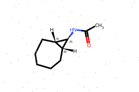 CC(=O)N[C@H]1[C@@H]2CCCCC[C@@H]21